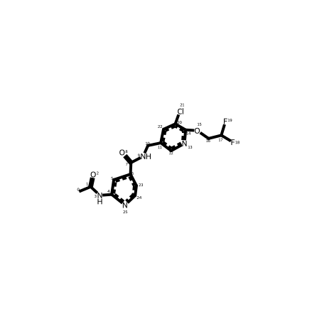 CC(=O)Nc1cc(C(=O)NCc2cnc(OCC(F)F)c(Cl)c2)ccn1